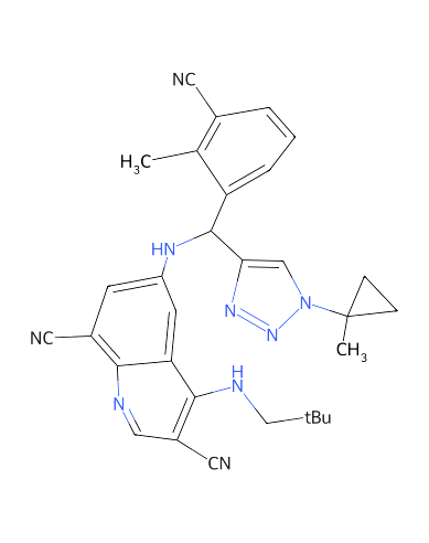 Cc1c(C#N)cccc1C(Nc1cc(C#N)c2ncc(C#N)c(NCC(C)(C)C)c2c1)c1cn(C2(C)CC2)nn1